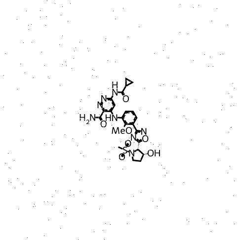 COc1c(Nc2cc(NC(=O)C3CC3)nnc2C(N)=O)cccc1-c1noc([C@@H]2[C@H](O)CCN2S(C)(=O)=O)n1